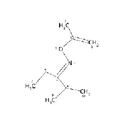 C=C(C)O/N=C(\CC)C(C)C